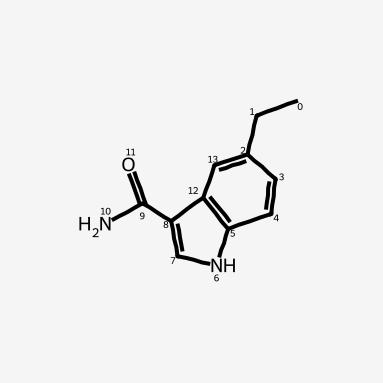 CCc1ccc2[nH]cc(C(N)=O)c2c1